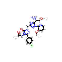 CC(C)(C)OCC(N)c1nc(Cn2nc(-c3ccc(Cl)cc3)n(C[C@H](O)C(F)(F)F)c2=O)nn1-c1ncccc1OC(F)(F)F